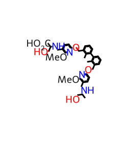 COc1nc(OCc2cccc(-c3cccc(COc4ccc(CNC(CO)C(=O)O)c(OC)n4)c3C)c2C)ccc1CNC(C)CO